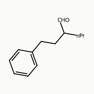 CCCC([C]=O)CCc1ccccc1